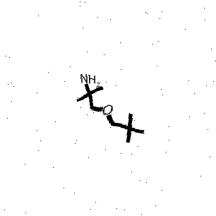 CC(C)(C)COCC(C)(C)N